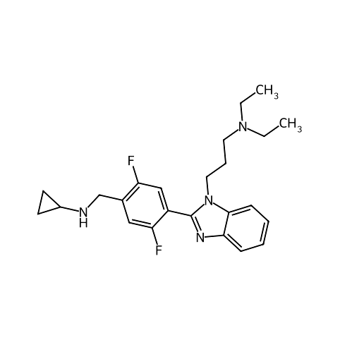 CCN(CC)CCCn1c(-c2cc(F)c(CNC3CC3)cc2F)nc2ccccc21